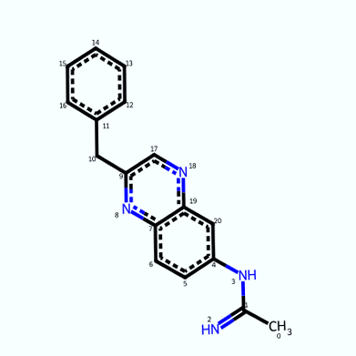 CC(=N)Nc1ccc2nc(Cc3ccccc3)cnc2c1